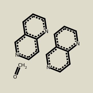 C=O.c1cnc2ccncc2c1.c1cnc2ccncc2c1